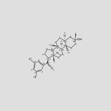 C[C@@]1(O)CC[C@H]2[C@@H](CC[C@@H]3[C@@H]2CC[C@]2(C)[C@@H](C(=O)c4cc(F)cc(F)c4)CC[C@@H]32)C1